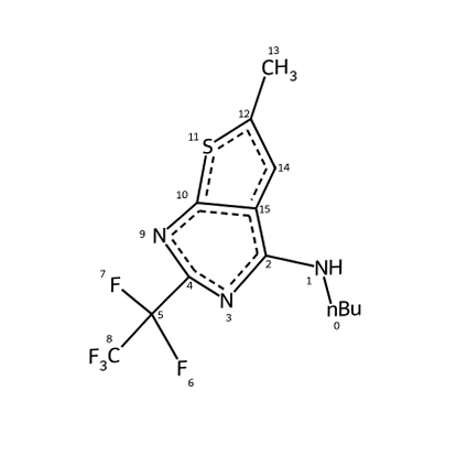 CCCCNc1nc(C(F)(F)C(F)(F)F)nc2sc(C)cc12